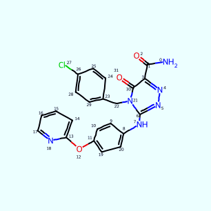 NC(=O)c1nnc(Nc2ccc(Oc3ccccn3)cc2)n(Cc2ccc(Cl)cc2)c1=O